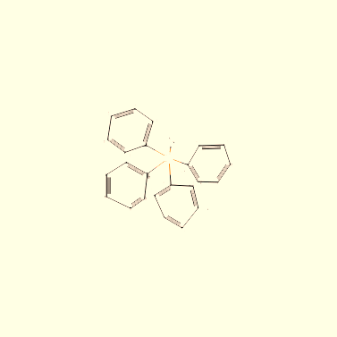 [Ni][P](c1ccccc1)(c1ccccc1)(c1ccccc1)c1ccccc1